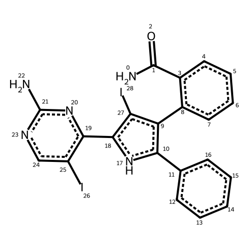 NC(=O)c1ccccc1-c1c(-c2ccccc2)[nH]c(-c2nc(N)ncc2I)c1I